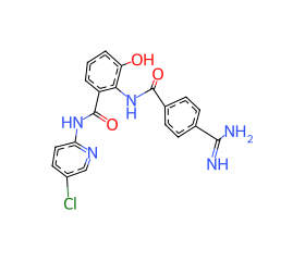 N=C(N)c1ccc(C(=O)Nc2c(O)cccc2C(=O)Nc2ccc(Cl)cn2)cc1